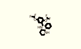 FC(F)Oc1ccc(OC(F)F)c(CN[C@H]2CCCN[C@H]2c2ccccc2)c1